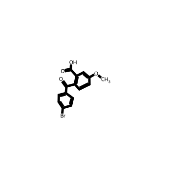 COc1ccc(C(=O)c2ccc(Br)cc2)c(C(=O)O)c1